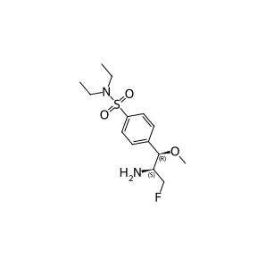 CCN(CC)S(=O)(=O)c1ccc([C@@H](OC)[C@H](N)CF)cc1